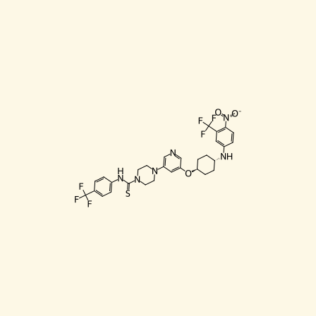 O=[N+]([O-])c1ccc(N[C@H]2CC[C@H](Oc3cncc(N4CCN(C(=S)Nc5ccc(C(F)(F)F)cc5)CC4)c3)CC2)cc1C(F)(F)F